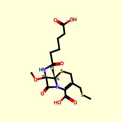 CO[C@@]1(NC(=O)CCCCC(=O)O)C(=O)N2C(C(=O)O)=C(CSC)CS[C@H]21